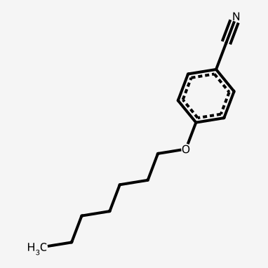 CCCCCCCOc1ccc(C#N)cc1